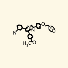 CC(=O)c1ccc(-c2cc(-c3cccc(C#N)c3)cn3cc(-c4ccc(OCCN5CCOCC5)cc4)nc23)cc1